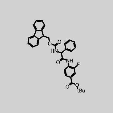 CC(C)(C)OC(=O)c1ccc(NC(=O)C(NC(=O)OCC2c3ccccc3-c3ccccc32)c2ccccc2)c(F)c1